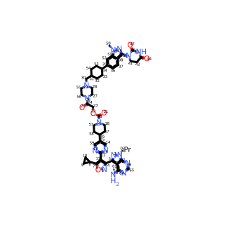 CC(C)n1nc(-c2noc(C3CC3)c2-c2ncc(C3CCN(C(=O)OCC(=O)N4CCN(CC5CCC(c6ccc7c(N8CCC(=O)NC8=O)nn(C)c7c6)CC5)CC4)CC3)cn2)c2c(N)ncnc21